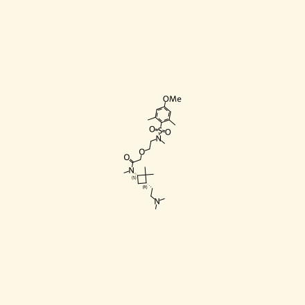 COc1cc(C)c(S(=O)(=O)N(C)CCOCC(=O)N(C)[C@H]2C[C@@H](CCN(C)C)C2(C)C)c(C)c1